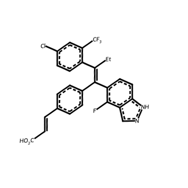 CC/C(=C(/c1ccc(/C=C/C(=O)O)cc1)c1ccc2[nH]ncc2c1F)c1ccc(Cl)cc1C(F)(F)F